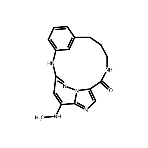 CNc1cc2nn3c(cnc13)C(=O)NCCCc1cccc(c1)N2